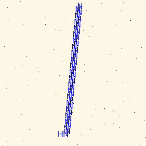 C/N=N/N=N/N=N/N=N/N=N/N=N/N=N/N=N/N=N/N=N/N=N/N=N/N=N/N=N/N=N/N=N/N=N/N=N/N=N/N=N/N=N